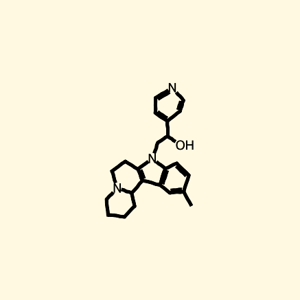 Cc1ccc2c(c1)c1c(n2CC(O)c2ccncc2)CCN2CCCCC12